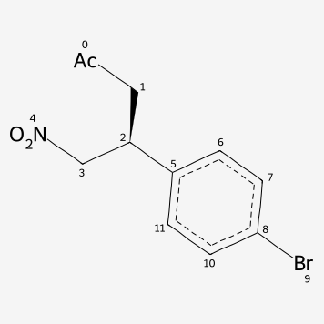 CC(=O)C[C@H](C[N+](=O)[O-])c1ccc(Br)cc1